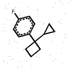 Fc1ccc(C2(C3CC3)[CH]CC2)cc1